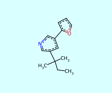 CCC(C)(C)c1cncc(-c2ccco2)c1